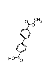 COC(=O)c1ccc(-c2ccc(C(=O)O)cc2)cc1